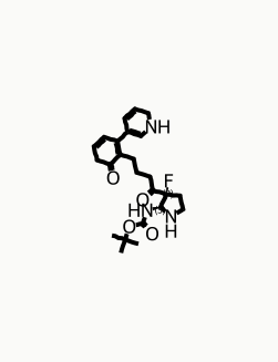 CC(C)(C)OC(=O)N[C@@H]1NCC[C@]1(F)C(=O)CCCC1=C(C2=CNCC=C2)C=CCC1=O